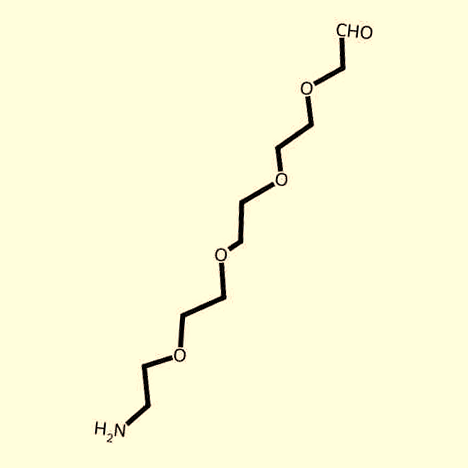 NCCOCCOCCOCCOCC=O